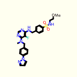 COCCNS(=O)(=O)c1ccc(CNc2ncnc(N(C)Cc3ccc(-n4cccn4)cc3)c2F)cc1